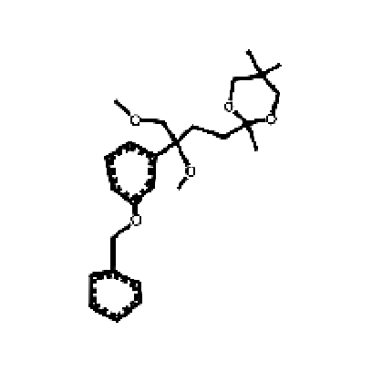 COCC(CCC1(C)OCC(C)(C)CO1)(OC)c1cccc(OCc2ccccc2)c1